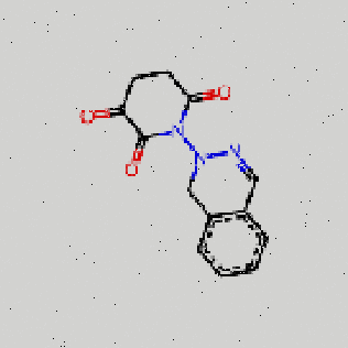 O=C1CCC(=O)N(N2Cc3ccccc3C=N2)C1=O